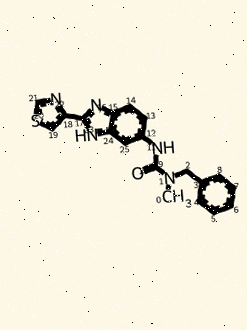 CN(Cc1ccccc1)C(=O)Nc1ccc2nc(-c3cscn3)[nH]c2c1